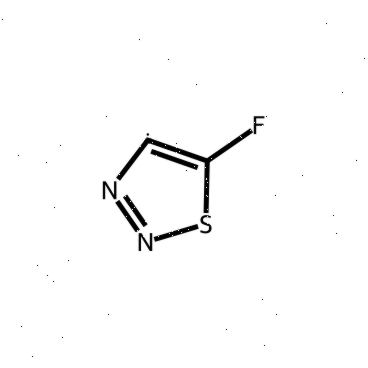 Fc1[c]nns1